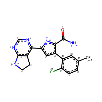 NC(=O)c1[nH]c(-c2ncnc3c2CCN3)cc1-c1cc(C(F)(F)F)ccc1Cl